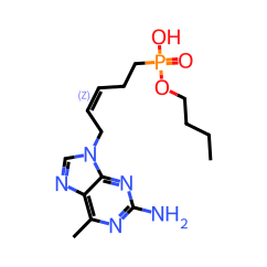 CCCCOP(=O)(O)CC/C=C\Cn1cnc2c(C)nc(N)nc21